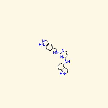 c1cc(Nc2ccnc(NCc3ccc4[nH]ncc4c3)n2)c2cc[nH]c2c1